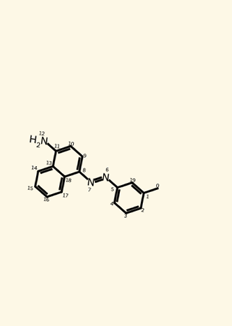 Cc1cccc(N=Nc2ccc(N)c3ccccc23)c1